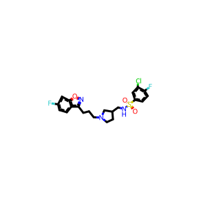 O=S(=O)(NCC1CCN(CCCc2noc3cc(F)ccc23)C1)c1ccc(F)c(Cl)c1